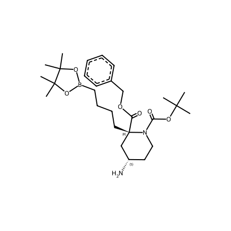 CC(C)(C)OC(=O)N1CC[C@H](N)C[C@]1(CCCCB1OC(C)(C)C(C)(C)O1)C(=O)OCc1ccccc1